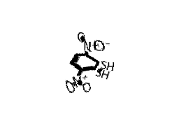 O=[N+]([O-])c1ccc([N+](=O)[O-])cc1.SS